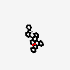 C1=Cc2oc3c(-c4c5ccccc5c(-c5ccccc5-c5ccc6ccccc6c5)c5ccccc45)cccc3c2CC1